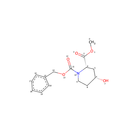 COC(=O)[C@@H]1C[C@H](O)CCN1C(=O)OCc1ccccc1